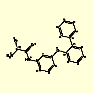 CC[C@@H](N)C(=O)Nc1cc(Oc2ccccc2-c2ccccc2)ccn1